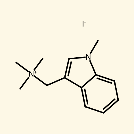 Cn1cc(C[N+](C)(C)C)c2ccccc21.[I-]